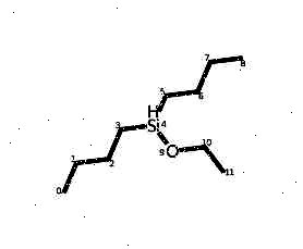 CCCC[SiH](CCCC)OCC